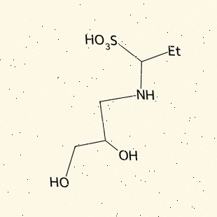 CCC(NCC(O)CO)S(=O)(=O)O